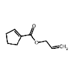 C=CCOC(=O)C1=CCCC1